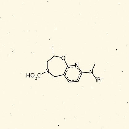 CC(C)N(C)c1ccc2c(n1)O[C@@H](C)CN(C(=O)O)C2